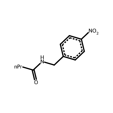 CCCC(=O)NCc1ccc([N+](=O)[O-])cc1